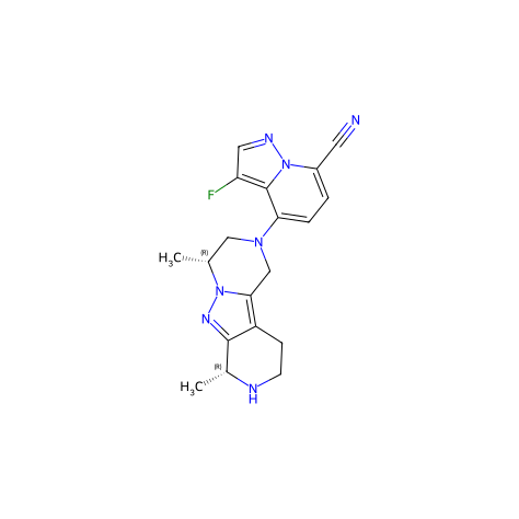 C[C@@H]1CN(c2ccc(C#N)n3ncc(F)c23)Cc2c3c(nn21)[C@@H](C)NCC3